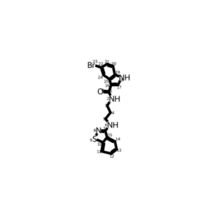 O=C(NCCCNc1nsc2ccccc12)c1c[nH]c2ccc(Br)cc12